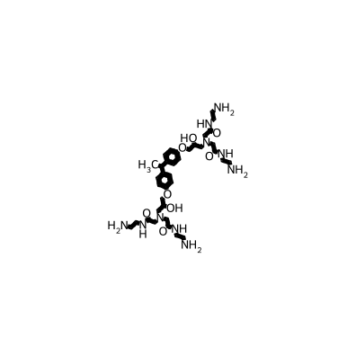 CC(c1ccc(OCC(O)CN(CC(=O)NCCN)CC(=O)NCCN)cc1)c1ccc(OCC(O)CN(CC(=O)NCCN)CC(=O)NCCN)cc1